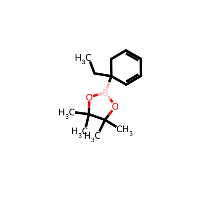 CCC1(B2OC(C)(C)C(C)(C)O2)C=CC=CC1